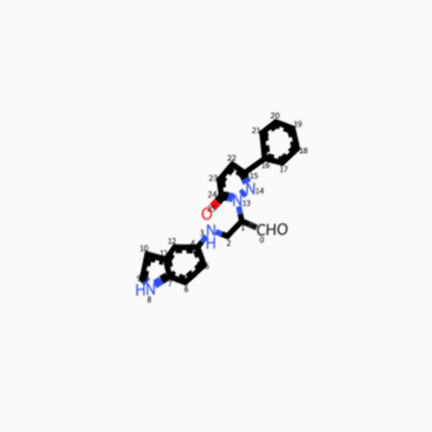 O=CC(CNc1ccc2[nH]ccc2c1)n1nc(-c2ccccc2)ccc1=O